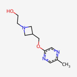 Cc1cnc(OCC2CN(CCO)C2)cn1